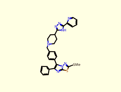 CSc1nn2c(-c3ccc(CN4CCC(c5nnc(-c6ccccn6)[nH]5)CC4)cc3)c(-c3ccccc3)nc2s1